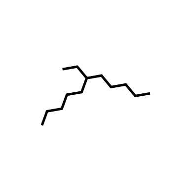 CCCCC[C](CC)CCCCC